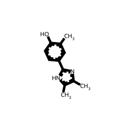 Cc1cc(-c2nc(C)c(C)[nH]2)ccc1O